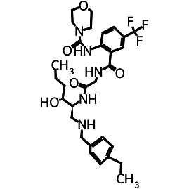 CCC[C@H](O)[C@H](CNCc1ccc(CC)cc1)NC(=O)CNC(=O)c1cc(C(F)(F)F)ccc1NC(=O)N1CCOCC1